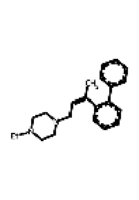 CCN1CCN(CC=C(C)c2ccccc2-c2ccccc2)CC1